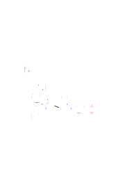 CS(=O)(=O)c1ccc2c(c1)oc(=O)n2CC#Cc1cc2c(N[C@H]3CC[C@H](N4CCOCC4)CC3)cccc2n1CC(F)(F)F